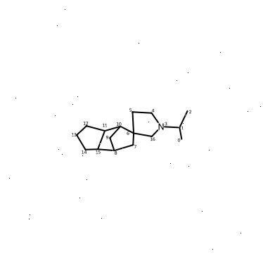 CC(C)N1CCC2(CC3CC2C2CCCC32)C1